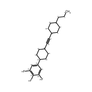 CCCC1CCC(C#CC2CCC(c3cc(F)c(F)c(F)c3)CC2)CC1